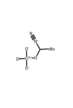 CCCCC([N+]#N)O[Cl+3]([O-])([O-])[O-]